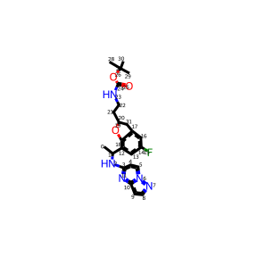 CC(Nc1ccn2nccc2n1)c1cc(F)cc2c1OC(CCNC(=O)OC(C)(C)C)C2